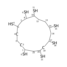 SC1CCCC(S)CC(S)C(S)CCC(S)CC(S)CC(S)C1